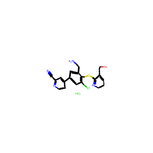 Cl.N#Cc1cc(-c2cc(Cl)c(Sc3ncccc3CO)c(CN)c2)ccn1